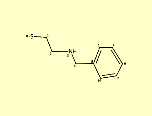 [S]CCNCc1ccccc1